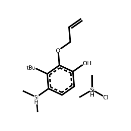 C=CCOc1c(O)ccc([SiH](C)C)c1C(C)(C)C.C[SiH](C)Cl